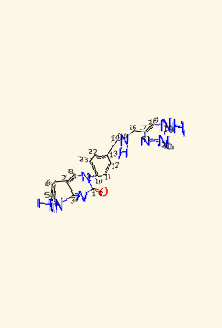 O=c1nc2[nH]ccc2cn1-c1ccc(CNCc2c[nH]nn2)cc1